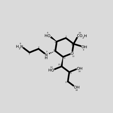 NCCN[C@@H]1[C@@H](O)CC(O)(C(=O)O)O[C@H]1C(O)C(O)CO